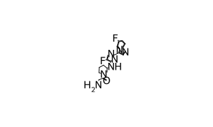 NCC(=O)N1CCC[C@@H](Nc2nc(-c3cnc4ccc(F)cn34)ncc2F)C1